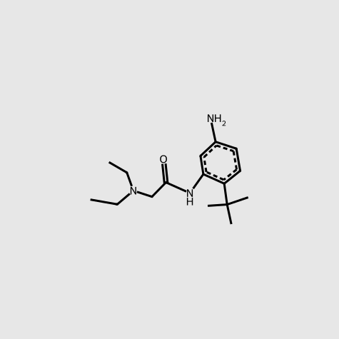 CCN(CC)CC(=O)Nc1cc(N)ccc1C(C)(C)C